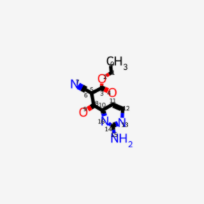 CCOC(=O)C(C#N)C(=O)c1ccnc(N)n1